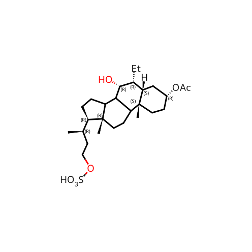 CC[C@H]1[C@@H](O)C2C3CC[C@H]([C@H](C)CCOS(=O)(=O)O)[C@@]3(C)CCC2[C@@]2(C)CC[C@@H](OC(C)=O)C[C@@H]12